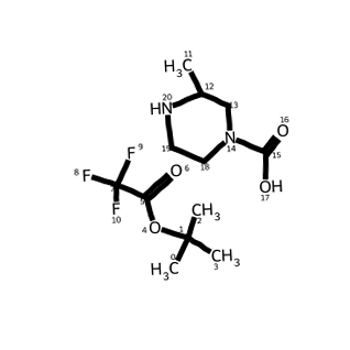 CC(C)(C)OC(=O)C(F)(F)F.CC1CN(C(=O)O)CCN1